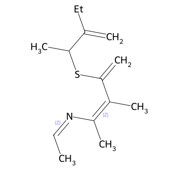 C=C(SC(C)C(=C)CC)/C(C)=C(C)\N=C/C